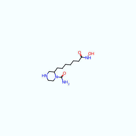 NC(=O)N1CCNCC1CCCCCCC(=O)NO